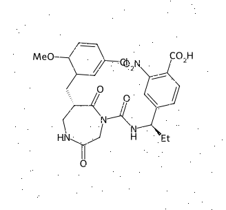 CC[C@@H](NC(=O)N1CC(=O)NC[C@H](CC2C=C(Cl)C=CC2OC)C1=O)c1ccc(C(=O)O)c([N+](=O)[O-])c1